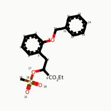 CCOC(=O)C(Cc1ccccc1OCc1ccccc1)OS(C)(=O)=O